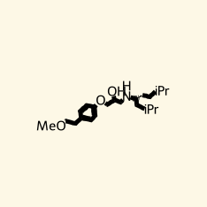 COCCc1ccc(OCC(O)CN[C@H](CCC(C)C)CC(C)C)cc1